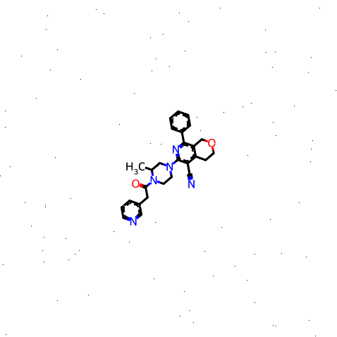 CC1CN(c2nc(-c3ccccc3)c3c(c2C#N)CCOC3)CCN1C(=O)Cc1cccnc1